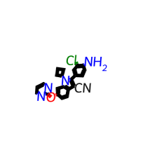 N#Cc1c(-c2ccc(N)c(Cl)c2)n(C2CCC2)c2cc(Oc3ncccn3)ccc12